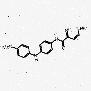 CN/C=C\C(=N)C(=O)Nc1ccc(Nc2ccc(NC)cc2)cc1